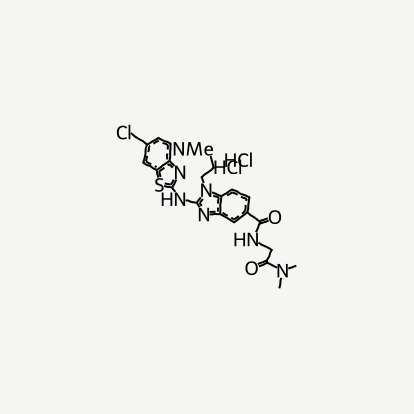 CNCCn1c(Nc2nc3ccc(Cl)cc3s2)nc2cc(C(=O)NCC(=O)N(C)C)ccc21.Cl.Cl